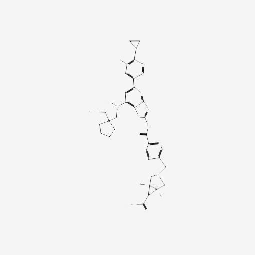 COCC1(CN(C)c2cc(-c3cnc(C4CC4)c(C(F)(F)F)c3)nc3nc(NC(=O)c4ccc(CN5C[C@@H]6C(C(=O)OC)[C@@H]6C5)cn4)[nH]c23)CCCC1